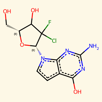 Nc1nc(O)c2ccn([C@@H]3O[C@H](CO)C(O)C3(F)Cl)c2n1